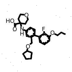 CCCOc1cccc(-c2ccc(NC3(C(=O)O)CCOCC3)cc2COC2CCCC2)c1F